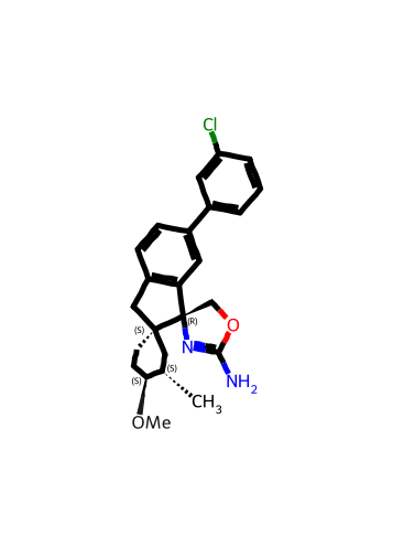 CO[C@H]1CC[C@@]2(Cc3ccc(-c4cccc(Cl)c4)cc3[C@@]23COC(N)=N3)C[C@@H]1C